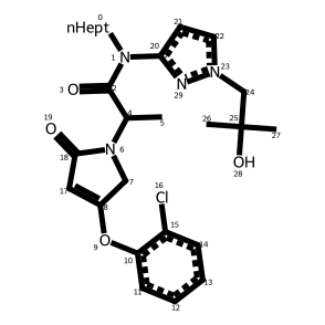 CCCCCCCN(C(=O)C(C)N1CC(Oc2ccccc2Cl)=CC1=O)c1ccn(CC(C)(C)O)n1